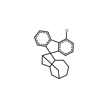 Clc1cccc2c1-c1ccccc1C21C2CC3CCCC1C(C3)C2